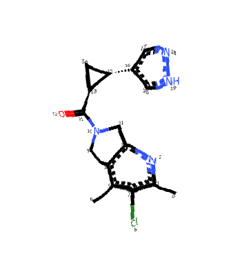 Cc1nc2c(c(C)c1Cl)CN(C(=O)[C@H]1C[C@@H]1c1cn[nH]c1)C2